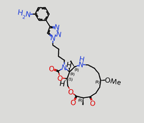 CO[C@@H]1CCCN[C@H](C)[C@@H]2[C@@H](COC(=O)[C@H](C)C(=O)CC1)OC(=O)N2CCCCn1cc(-c2cccc(N)c2)nn1